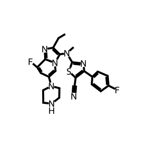 CCc1nc2c(F)cc(N3CCNCC3)cn2c1N(C)c1nc(-c2ccc(F)cc2)c(C#N)s1